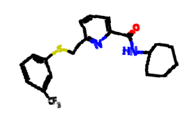 O=C(NC1CCCCC1)c1cccc(CSc2cccc(C(F)(F)F)c2)n1